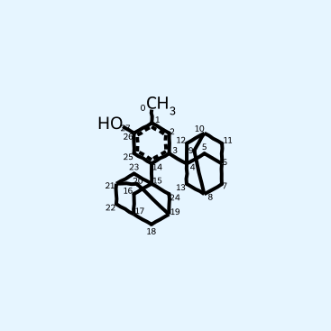 Cc1cc(C23CC4CC(CC(C4)C2)C3)c(C23CC4CC(CC(C4)C2)C3)cc1O